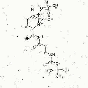 CC(C)(C)OC(=O)NCCC(=O)NC(=N)[C@@H]1CC[C@@H]2CN1C(=O)N2OS(=O)(=O)O